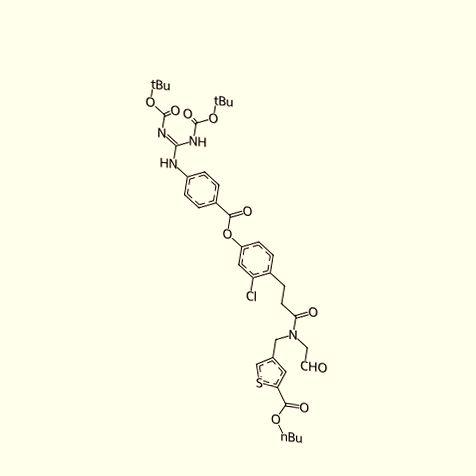 CCCCOC(=O)c1cc(CN(CC=O)C(=O)CCc2ccc(OC(=O)c3ccc(N/C(=N/C(=O)OC(C)(C)C)NC(=O)OC(C)(C)C)cc3)cc2Cl)cs1